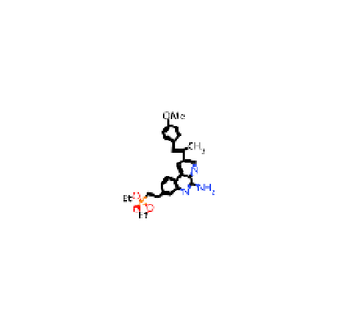 CCOP(=O)(CCc1ccc2c(c1)nc(N)c1ncc(C(C)Cc3ccc(OC)cc3)cc12)OCC